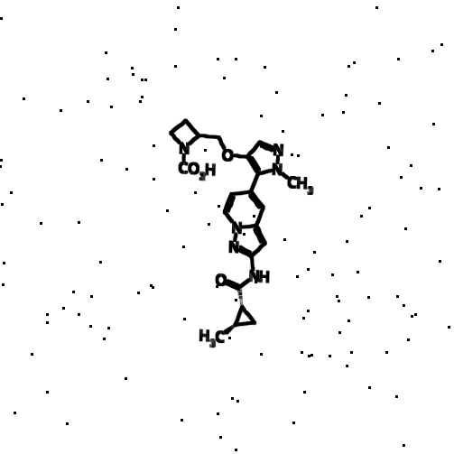 C[C@@H]1C[C@H]1C(=O)Nc1cc2cc(-c3c(OCC4CCN4C(=O)O)cnn3C)ccn2n1